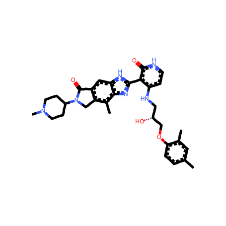 Cc1ccc(OC[C@H](O)CNc2cc[nH]c(=O)c2-c2nc3c(C)c4c(cc3[nH]2)C(=O)N(C2CCN(C)CC2)C4)c(C)c1